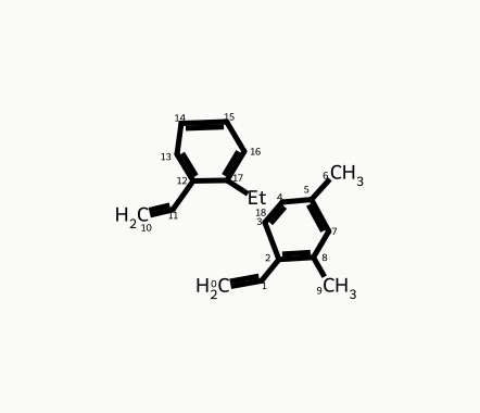 C=Cc1ccc(C)cc1C.C=Cc1ccccc1CC